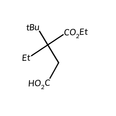 CCOC(=O)C(CC)(CC(=O)O)C(C)(C)C